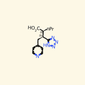 CCC[C@H](C(=O)O)[C@H](Cc1ccncc1)c1nnn[nH]1